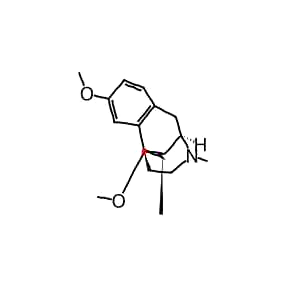 COc1ccc2c(c1)[C@]13CCN(C)[C@H](C2)C1C[C@@H](C)C(OC)C3